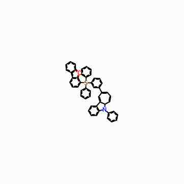 C1=CC2C(=CC(c3cccc(S(c4ccccc4)(c4ccccc4)c4cccc5c4oc4ccccc45)c3)=C1)c1ccccc1N2c1ccccc1